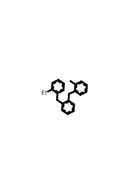 CCc1ccccc1Cc1ccccc1Cc1ccccc1C